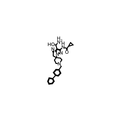 N#CCC1(n2cc(C(N)O)c(NC(=O)C3CC3)n2)CCN(Cc2ccc(-c3ccccc3)cc2)CC1